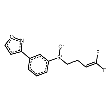 [O-][S+](CCC=C(F)F)c1cccc(-c2ccon2)c1